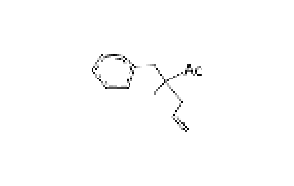 C=CCC(C)(Cc1ccccc1)C(C)=O